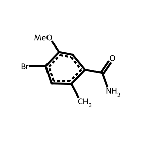 COc1cc(C(N)=O)c(C)cc1Br